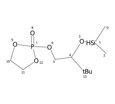 C[SiH](C)OC(COP1(=O)OCCO1)C(C)(C)C